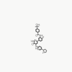 CN1CCCC1c1ccc(Nc2cc(-c3ccc(F)c(NC(=O)c4ccc(C(C)(C)O)cc4)c3)n[nH]c2=O)nc1